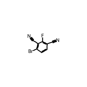 N#Cc1ccc(Br)c(C#N)c1F